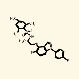 Cc1cc(C)c(S(=O)(=O)N[C@@H](C)CNc2c(F)ccc3c2cnn3-c2ccc(F)cc2)c(C)c1